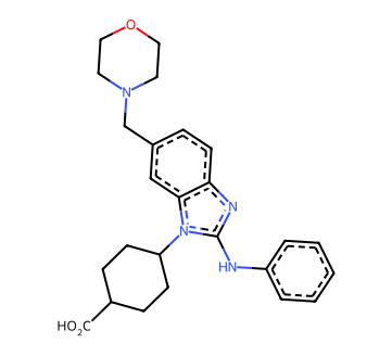 O=C(O)C1CCC(n2c(Nc3ccccc3)nc3ccc(CN4CCOCC4)cc32)CC1